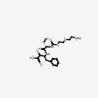 COCCOCCOC(=O)N[C@@H](CC(C)C)C(=O)NC(Cc1ccccc1)C(=O)C(N)=O